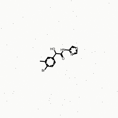 Cc1cc(C(O)C(=O)Nc2cscn2)ccc1Br